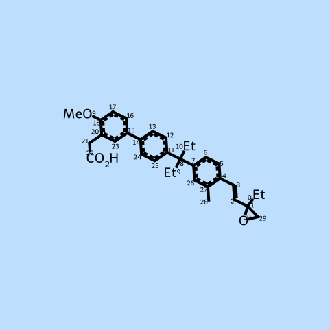 CCC1(/C=C/c2ccc(C(CC)(CC)c3ccc(-c4ccc(OC)c(CC(=O)O)c4)cc3)cc2C)CO1